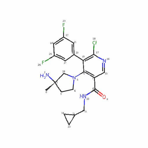 C[C@]1(N)CCN(c2c(C(=O)NCC3CC3)cnc(Cl)c2-c2cc(F)cc(F)c2)C1